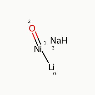 [Li][Ni]=[O].[NaH]